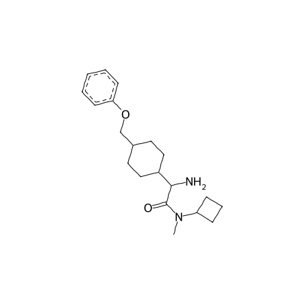 CN(C(=O)C(N)C1CCC(COc2ccccc2)CC1)C1CCC1